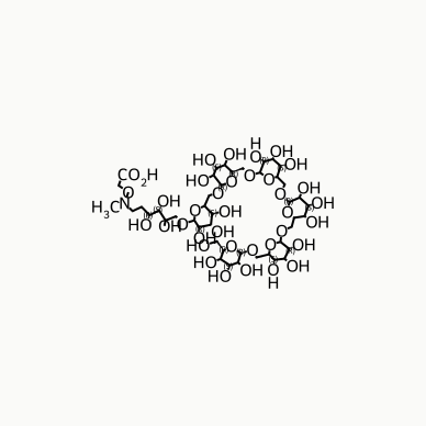 CN(CC[C@@H](O)[C@H](O)C(O)COC1OC(CO[C@@H]2O[C@H](COC3OC(CO[C@@H]4OC(COC5OC(CO[C@@H]6O[C@H](CO)C(O)[C@H](O)C6O)[C@@H](O)C(O)[C@H]5O)C(O)[C@H](O)C4O)[C@@H](O)C(O)[C@H]3O)C(O)[C@H](O)C2O)[C@@H](O)C(O)[C@H]1O)OCC(=O)O